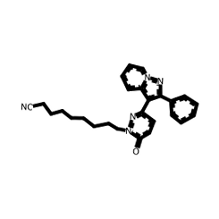 N#CCCCCCCCCn1nc(-c2c(-c3ccccc3)nn3ccccc23)ccc1=O